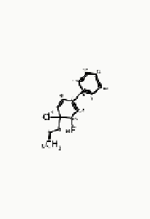 CCCC1(Cl)C=CC(c2ccccc2)=CC1F